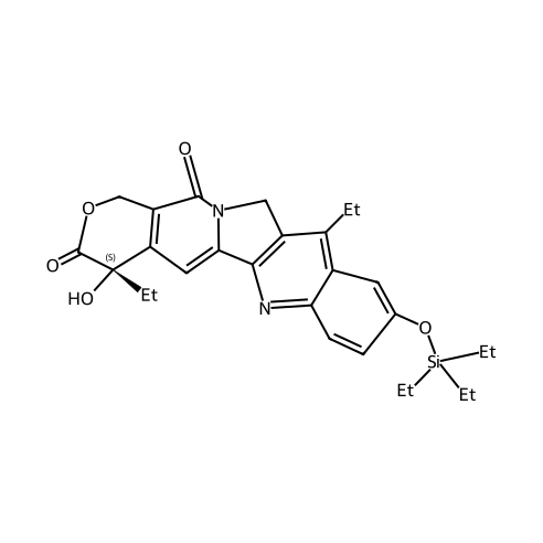 CCc1c2c(nc3ccc(O[Si](CC)(CC)CC)cc13)-c1cc3c(c(=O)n1C2)COC(=O)[C@]3(O)CC